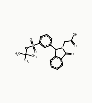 CC(C)(C)NS(=O)(=O)c1cccc(C2c3ccccc3C(=O)N2CC(=O)O)c1